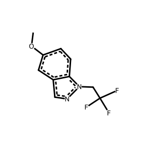 COc1ccc2c(cnn2CC(F)(F)F)c1